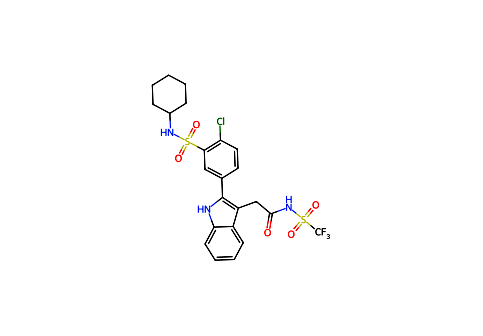 O=C(Cc1c(-c2ccc(Cl)c(S(=O)(=O)NC3CCCCC3)c2)[nH]c2ccccc12)NS(=O)(=O)C(F)(F)F